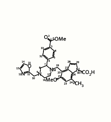 COC(=O)c1ccc(C2CN(Cc3ncco3)CCN2Cc2c(OC)cc(C)c3c2ccn3C(=O)O)cc1